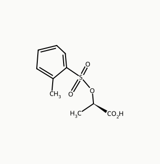 Cc1ccccc1S(=O)(=O)O[C@H](C)C(=O)O